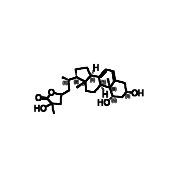 C[C@H](CC1CC(C)(O)C(=O)O1)[C@H]1CC[C@H]2C3=CC=C4C[C@@H](O)C[C@H](O)[C@]4(C)[C@H]3CC[C@]12C